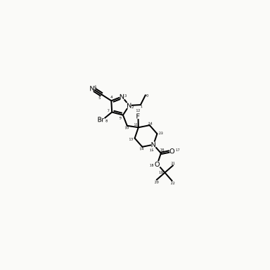 CCn1nc(C#N)c(Br)c1CC1(F)CCN(C(=O)OC(C)(C)C)CC1